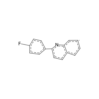 Fc1ccc(-c2ccc3cc[c]cc3n2)cc1